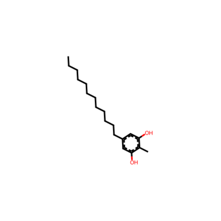 CCCCCCCCCCCCc1cc(O)c(C)c(O)c1